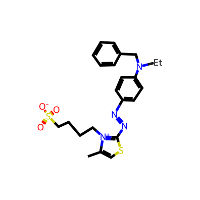 CCN(Cc1ccccc1)c1ccc(/N=N/c2scc(C)[n+]2CCCCS(=O)(=O)[O-])cc1